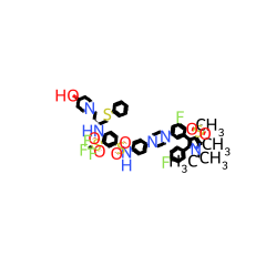 Cc1c(S(C)(=O)=O)c(-c2cc(F)cc(N3CCN(c4ccc(NS(=O)(=O)c5ccc(N[C@H](CCN6CCC(O)CC6)CSc6ccccc6)c(S(=O)(=O)C(F)(F)F)c5)cc4)CC3)c2)c(-c2ccc(F)cc2)n1C(C)C